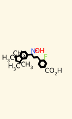 CC1(C)CC(C)(C)c2cc(C(C=Cc3ccc(C(=O)O)cc3F)=NO)ccc21